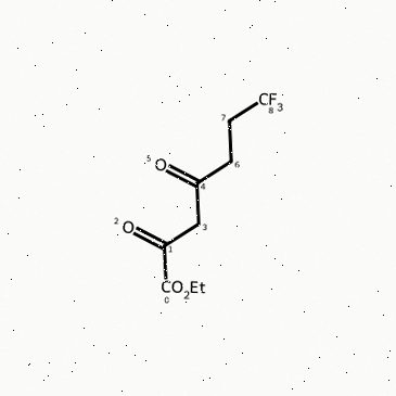 CCOC(=O)C(=O)CC(=O)CCC(F)(F)F